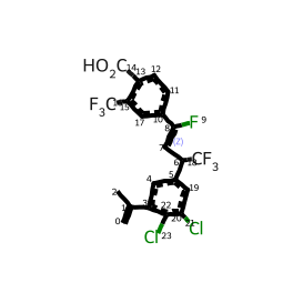 C=C(C)c1cc(C(/C=C(\F)c2ccc(C(=O)O)c(C(F)(F)F)c2)C(F)(F)F)cc(Cl)c1Cl